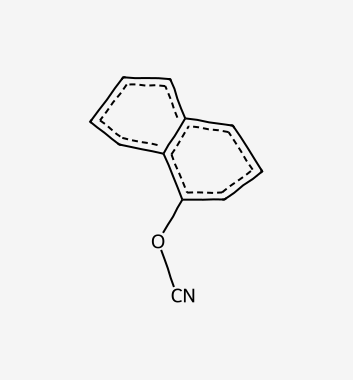 N#COc1cccc2ccccc12